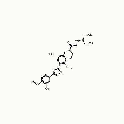 Cc1c(-c2noc(-c3ccc(OC(C)C)c(C#N)c3)n2)ccc2c1CCN(C(=O)CNC(CO)CO)C2.Cl